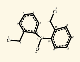 [O-][S+](c1ccccc1CCl)c1ccccc1CCl